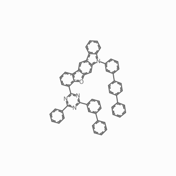 c1ccc(-c2ccc(-c3cccc(-n4c5ccccc5c5cc6c(cc54)oc4c(-c5nc(-c7ccccc7)nc(-c7cccc(-c8ccccc8)c7)n5)cccc46)c3)cc2)cc1